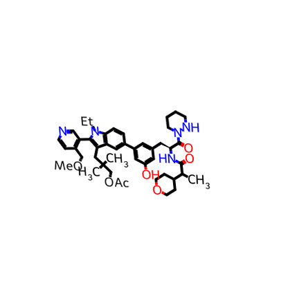 CCn1c(-c2cnccc2COC)c(CC(C)(C)COC(C)=O)c2cc(-c3cc(O)cc(C[C@H](NC(=O)C(C)C4CCOCC4)C(=O)N4CCCCN4)c3)ccc21